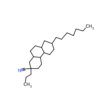 CCCCCCCC1CCC2C(CCC3CC(C#N)(CCC)CCC32)C1